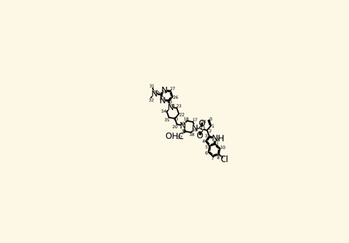 C=CC(c1cc2ccc(Cl)cc2[nH]1)S(=O)(=O)N1CCN(CC2CCN(c3ccnc(N(C)C)n3)CC2)C(C=O)C1